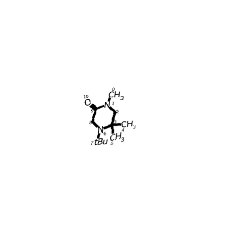 CN1CC(C)(C)N(C(C)(C)C)CC1=O